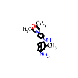 CC1CN(c2ccc(NC3C(C)CC4(N)CC5CC3C5C4)cc2)CC(C)O1